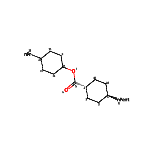 CCCCC[C@H]1CC[C@H](C(=O)OC2CCC(CCC)CC2)CC1